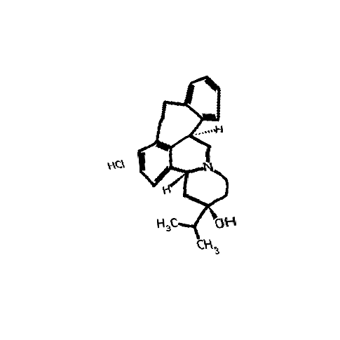 CC(C)[C@@]1(O)CCN2C[C@@H]3c4ccccc4CCc4cccc(c43)[C@H]2C1.Cl